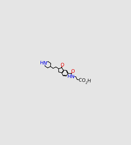 O=C(O)CCNC(=O)c1ccc2c(c1)C(=O)C(CCC1CCNCC1)C2